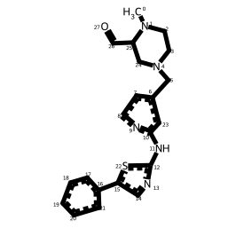 CN1CCN(Cc2ccnc(Nc3ncc(-c4ccccc4)s3)c2)CC1C=O